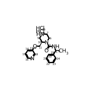 C[C@H](NC(=O)N1CCNC[C@@H]1COc1cccnc1)c1ccccc1.Cl.Cl